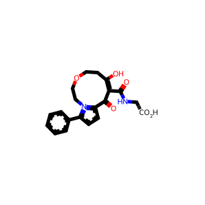 O=C(O)CNC(=O)/C1=C(\O)CCOCCn2c(ccc2-c2ccccc2)C1=O